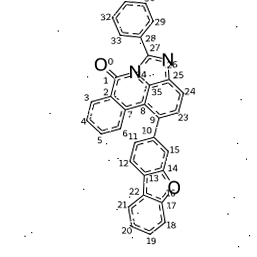 O=c1c2ccccc2c2c(-c3ccc4c(c3)oc3ccccc34)ccc3nc(-c4ccccc4)n1c32